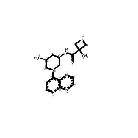 C[C@H]1C[C@@H](NC(=O)C2(C)COC2)CN(c2ccnc3nccnc23)C1